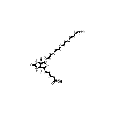 [N-]=[N+]=NCCOCCOCCOCCO[C@@H]1S[C@@H](CCCCC(=O)O)[C@H]2NC(=O)N[C@H]21